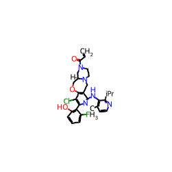 C=CC(=O)N1CCN2Cc3c(Nc4c(C)ccnc4C(C)C)nc(-c4c(O)cccc4F)c(Cl)c3OC[C@H]2C1